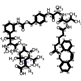 CNC(C(=O)N[C@H](C(=O)N(C)[C@H](/C=C(\C)C(=O)O)C(C)C)C(C)(C)C)C(C)(C)c1cccc(NC(=O)OCc2ccc(NC(=O)[C@H](C)NC(=O)[C@@H](NC(=O)CCCCC(=O)N3Cc4ccccc4C#Cc4ccccc43)C(C)C)cc2)c1